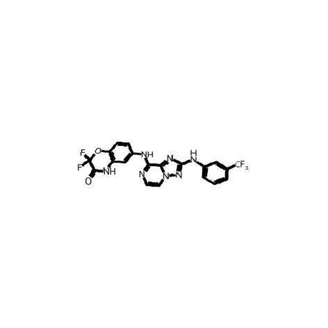 O=C1Nc2cc(Nc3nccn4nc(Nc5cccc(C(F)(F)F)c5)nc34)ccc2OC1(F)F